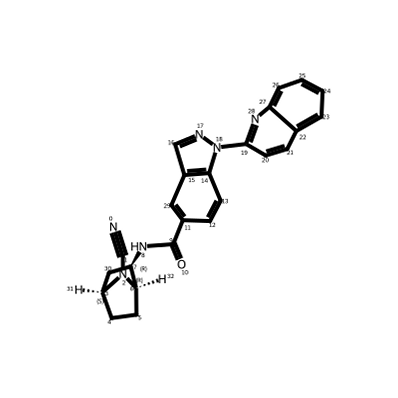 N#CN1[C@H]2CC[C@@H]1[C@H](NC(=O)c1ccc3c(cnn3-c3ccc4ccccc4n3)c1)C2